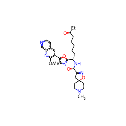 CCC(=O)CCCCC[C@H](NC(=O)C1=NOC2(CCN(C)CC2)C1)c1ncc(-c2cc3ccncc3nc2OC)o1